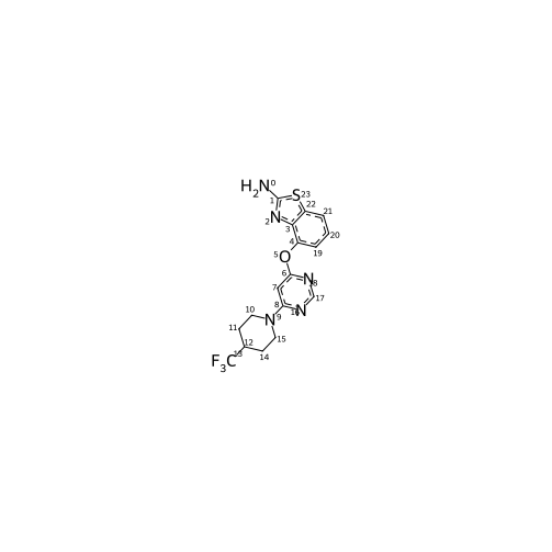 Nc1nc2c(Oc3cc(N4CCC(C(F)(F)F)CC4)ncn3)cccc2s1